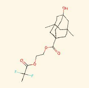 CC12CC3(C)CC(O)(C1)CC(C(=O)OCCOC(=O)C(C)(F)F)(C2)C3